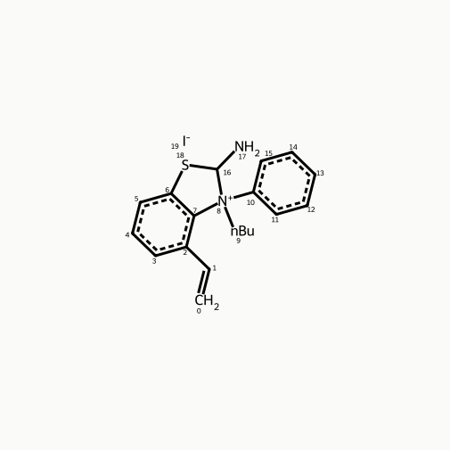 C=Cc1cccc2c1[N+](CCCC)(c1ccccc1)C(N)S2.[I-]